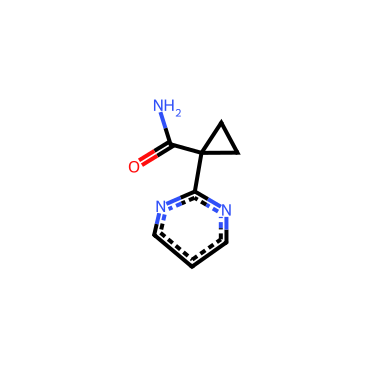 NC(=O)C1(c2ncccn2)CC1